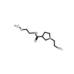 CCCN1CCC(C(=O)NCCOC)C1